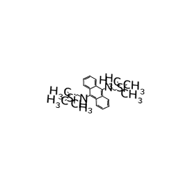 C[Si](C)(C)CNc1c2ccccc2c(NC[Si](C)(C)C)c2ccccc12